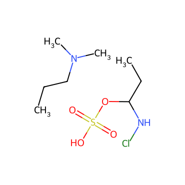 CCC(NCl)OS(=O)(=O)O.CCCN(C)C